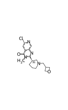 Cn1c([C@@H]2CCCN(CC3COC3)C2)nc2cnc(Cl)cc2c1=O